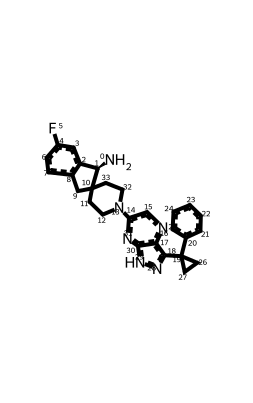 N[C@@H]1c2cc(F)ccc2CC12CCN(c1cnc3c(C4(c5ccccc5)CC4)n[nH]c3n1)CC2